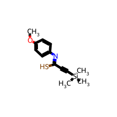 COc1ccc(N=C(S)C#C[Si](C)(C)C)cc1